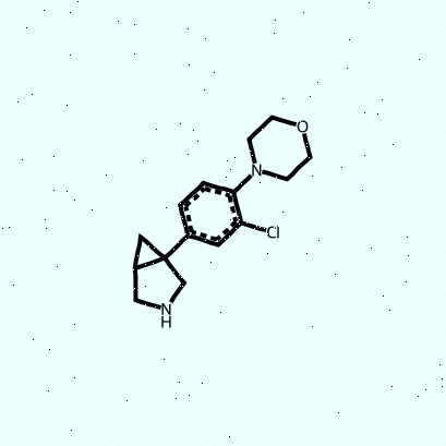 Clc1cc(C23CNCC2C3)ccc1N1CCOCC1